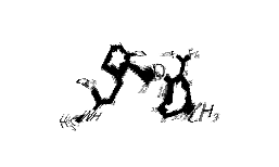 CNC(=O)Cc1cccc(Cl)c1COc1ccc(C)cc1C(F)F